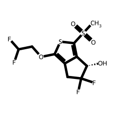 CS(=O)(=O)c1sc(OCC(F)F)c2c1[C@H](O)C(F)(F)C2